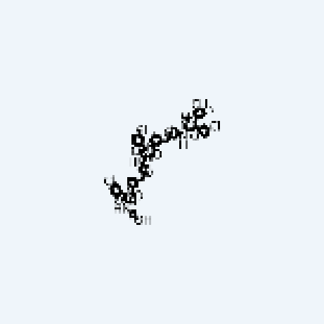 Cc1cccc(-n2c(=O)nc(NC3CCOC(Cc4cccc(-n5c(=O)nc(NC6COC(Cc7cccc(-n8c(=O)nc(N[C@H]9C[C@H](O)C9)c9oc%10ccc(Cl)cc%10c98)c7)C6)c6oc7ccc(Cl)cc7c65)c4)C3)c3oc4ccc(Cl)cc4c32)c1